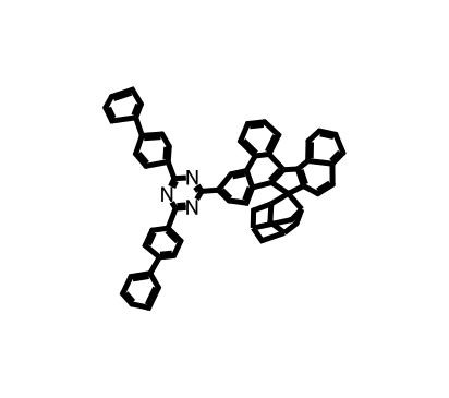 c1ccc(-c2ccc(-c3nc(-c4ccc(-c5ccccc5)cc4)nc(-c4ccc5c6c(c7ccccc7c5c4)-c4c(ccc5ccccc45)C64C5CC6CC(C5)CC4C6)n3)cc2)cc1